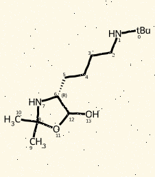 CC(C)(C)NCCCC[C@H]1NC(C)(C)OC1O